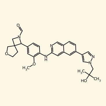 COc1cc(C2N(C=O)CC23CCOC3)ccc1Nc1cc2cc(-c3cnn(CC(C)(C)O)c3)ccc2cn1